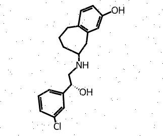 Oc1ccc2c(c1)CC(NC[C@H](O)c1cccc(Cl)c1)CCC2